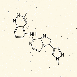 Cc1cc2c(NC3=NC=CN4C3=NCC4c3cnn(C)c3)cccc2nn1